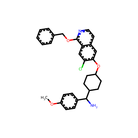 COc1ccc(C(N)C2CCC(Oc3cc4ccnc(OCc5ccccc5)c4cc3Cl)CC2)cc1